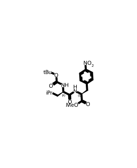 COC(=O)[C@H](Cc1ccc([N+](=O)[O-])cc1)NC(=O)[C@@H](CC(C)C)NC(=O)OC(C)(C)C